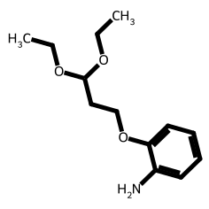 CCOC(CCOc1ccccc1N)OCC